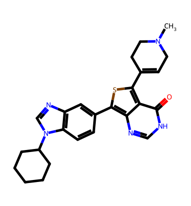 CN1CC=C(c2sc(-c3ccc4c(c3)ncn4C3CCCCC3)c3nc[nH]c(=O)c23)CC1